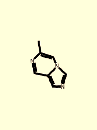 Cc1cn2cncc2cn1